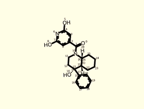 O=C(c1cc(O)nc(O)c1)N1CC[C@](O)(c2ccccc2)[C@H]2CCCC[C@H]21